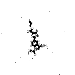 C=CCOC(=O)c1sc(-c2ccc3c(c2)c(N)cn3C(C)CF)nc1C